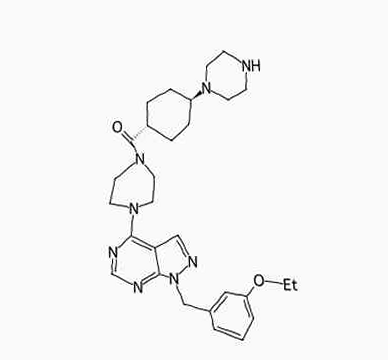 CCOc1cccc(Cn2ncc3c(N4CCN(C(=O)[C@H]5CC[C@H](N6CCNCC6)CC5)CC4)ncnc32)c1